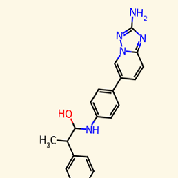 CC(c1ccccc1)C(O)Nc1ccc(-c2ccc3nc(N)nn3c2)cc1